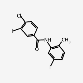 Cc1ccc(I)cc1NC(=O)c1ccc(Cl)c(I)c1